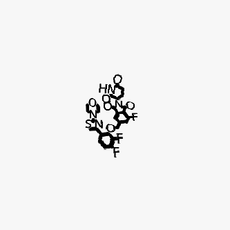 O=C1CCC(N2C(=O)c3cc(COc4c(-c5csc(N6CCOCC6)n5)ccc(F)c4F)cc(F)c3C2=O)C(=O)N1